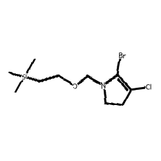 C[Si](C)(C)CCOCN1CCC(Cl)=C1Br